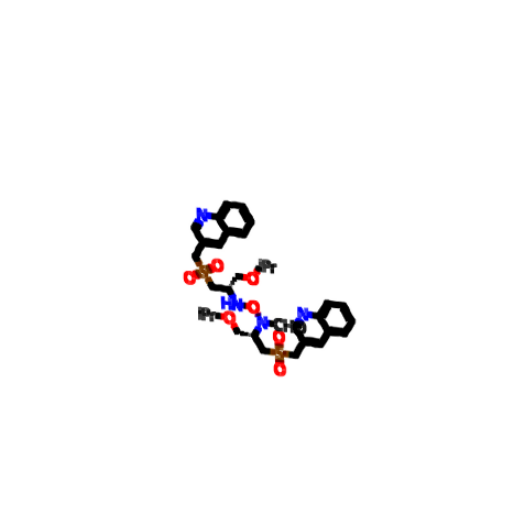 CC(C)OC[C@@H](CS(=O)(=O)Cc1cnc2ccccc2c1)NON(C=O)[C@@H](COC(C)C)CS(=O)(=O)Cc1cnc2ccccc2c1